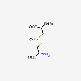 CC(=O)N[C@@H](CSSCC(N)C(=O)[O-])C(=O)[O-].[Cu+2]